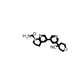 N#CC1(c2cncc(-c3cnc4c(c3)CCCN4C(N)=O)c2)CCOCC1